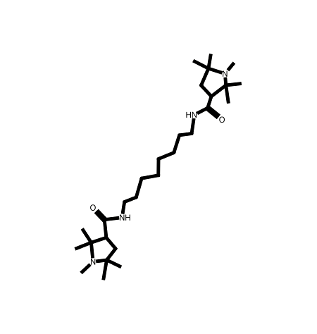 CN1C(C)(C)CC(C(=O)NCCCCCCCCNC(=O)C2CC(C)(C)N(C)C2(C)C)C1(C)C